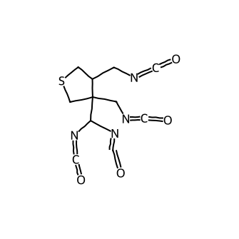 O=C=NCC1CSCC1(CN=C=O)C(N=C=O)N=C=O